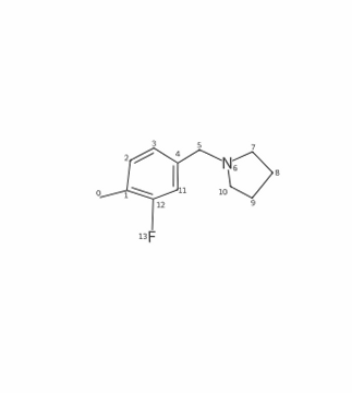 Cc1ccc(CN2CCCC2)cc1F